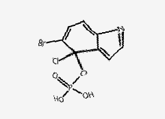 O=P(O)(O)OC1(Cl)C(Br)=CC=C2N=CC=C21